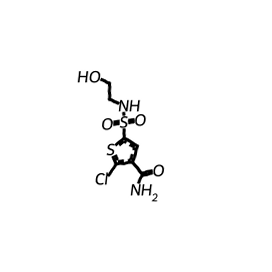 NC(=O)c1cc(S(=O)(=O)NCCO)sc1Cl